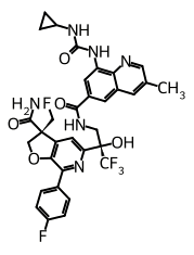 Cc1cnc2c(NC(=O)NC3CC3)cc(C(=O)NC[C@](O)(c3cc4c(c(-c5ccc(F)cc5)n3)OC[C@]4(CF)C(N)=O)C(F)(F)F)cc2c1